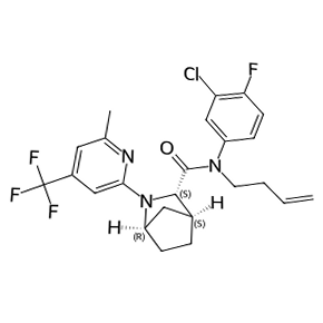 C=CCCN(C(=O)[C@@H]1[C@H]2CC[C@H](C2)N1c1cc(C(F)(F)F)cc(C)n1)c1ccc(F)c(Cl)c1